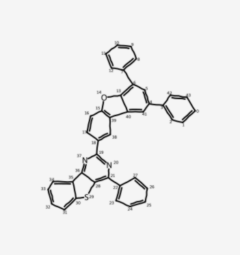 c1ccc(-c2cc(-c3ccccc3)c3oc4ccc(-c5nc(-c6ccccc6)c6sc7ccccc7c6n5)cc4c3c2)cc1